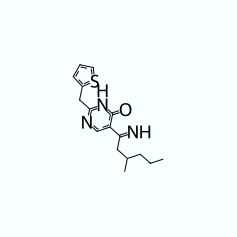 CCCC(C)CC(=N)c1cnc(Cc2cccs2)[nH]c1=O